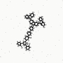 Cc1cc(-c2cc(-c3ccccc3C)nc(-c3ccccc3C)n2)ccc1-c1ccc(-c2ccc(-n3c4ccc(-n5c6ccccc6c6ccccc65)cc4c4cc(-n5c6ccccc6c6ccccc65)ccc43)cc2)cc1